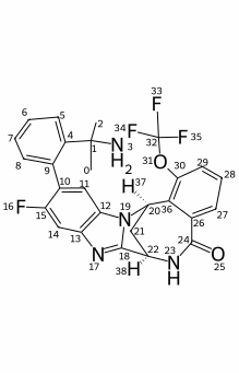 CC(C)(N)c1ccccc1-c1cc2c(cc1F)nc1n2[C@@H]2C[C@H]1NC(=O)c1cccc(OC(F)(F)F)c12